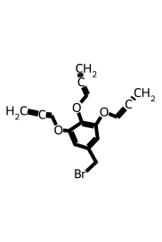 C=C=COc1cc(CBr)cc(OC=C=C)c1OC=C=C